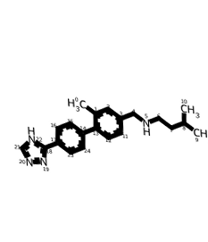 Cc1cc(CNCCC(C)C)ccc1-c1ccc(-c2nnc[nH]2)cc1